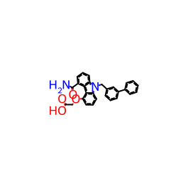 NC(=O)c1cccc2c1c1c(OCC(=O)O)cccc1n2Cc1cccc(-c2ccccc2)c1